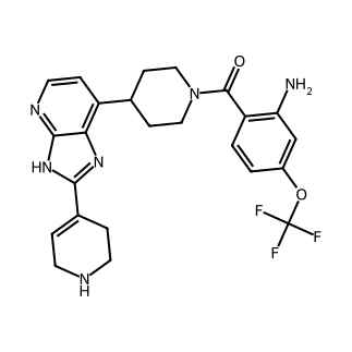 Nc1cc(OC(F)(F)F)ccc1C(=O)N1CCC(c2ccnc3[nH]c(C4=CCNCC4)nc23)CC1